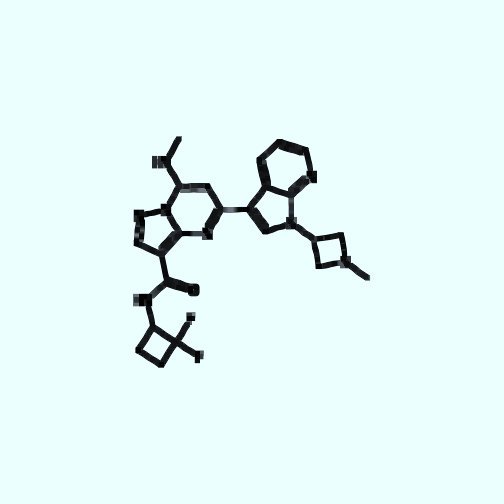 CNc1cc(-c2cn(C3CN(C)C3)c3ncccc23)nc2c(C(=O)NC3CCC3(F)F)cnn12